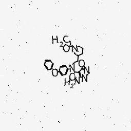 C=CC(=O)N1CCCC(C2CN(c3ccc(Oc4ccccc4)cc3)C(=O)c3c(N)ncnc3O2)C1